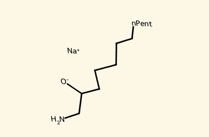 CCCCCCCCCCC([O-])CN.[Na+]